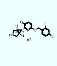 Cl.Fc1cc(Cl)ccc1COc1ccc(F)c([C@@H]2[C@@H]3CNC[C@@H]32)n1